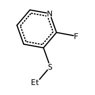 CCSc1cccnc1F